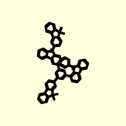 CC1(C)c2ccccc2-c2cc(-n3c4ccccc4c4cc(-c5cc(-c6ccc7c(c6)C(C)(C)c6ccccc6-7)cc(-c6cccc7c8ccccc8n(-c8ccccc8)c67)c5)ccc43)ccc21